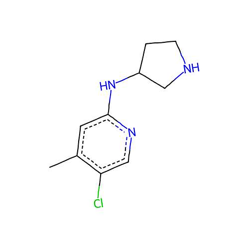 Cc1cc(NC2CCNC2)ncc1Cl